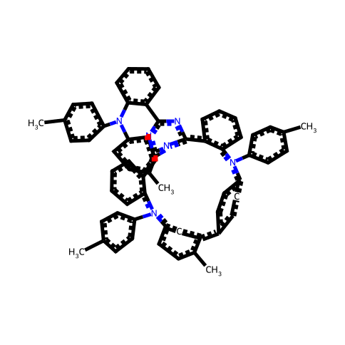 Cc1ccc(N(c2ccc(C)cc2)c2ccccc2-c2nc3nc(n2)c2ccccc2n(-c2ccc(C)cc2)c2ccc(C)c(c2)c2ccc(cc2)n(-c2ccc(C)cc2)c2ccccc32)cc1